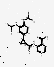 O=C(O)c1ccncc1NC(=O)C1CC1c1ccc(OC(F)F)c(OC(F)F)c1